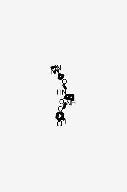 O=C(COc1ccc(Cl)c(F)c1)NC12CCC1C(NCCOC1CC(n3nccn3)C1)C2